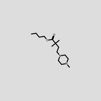 CCCCOC(=O)C(C)(C)CCN1CCN(C)CC1